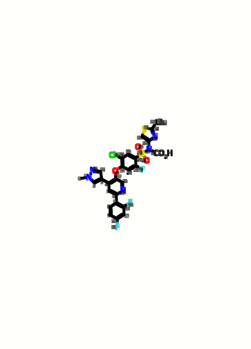 Cn1cc(-c2cc(-c3ccc(F)cc3F)ncc2Oc2cc(F)c(S(=O)(=O)N(C(=O)O)c3csc(C(C)(C)C)n3)cc2Cl)cn1